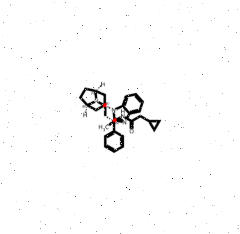 Cc1nc2ccccc2n1[C@@H]1C[C@H]2CC[C@@H](C1)N2CC[C@H](NC(=O)CC1CC1)c1ccccc1